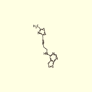 Cc1nc(C#CCCNc2ncnc3sccc23)cs1